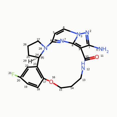 Nc1nn2ccc3nc2c1C(=O)NCCCOc1ccc(F)cc1[C@H]1CCCN31